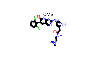 COn1c(=O)c(-c2c(Cl)cccc2Cl)cc2cnc(Nc3c[nH]c(CC(=O)NCCN(C)C)c3)nc21